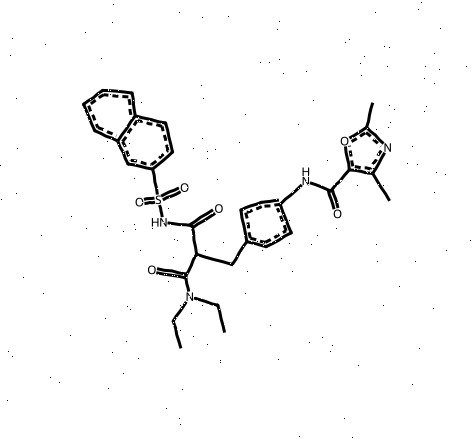 CCN(CC)C(=O)C(Cc1ccc(NC(=O)c2oc(C)nc2C)cc1)C(=O)NS(=O)(=O)c1ccc2ccccc2c1